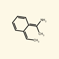 C/C=c1/cccc/c1=C(/C)N